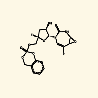 O=C1NC2OC2C(F)=CN1[C@@H]1O[C@](F)(COP2(=O)OCc3ccccc3O2)C[C@H]1O